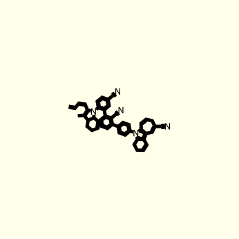 C=C/C=C\C1=C(C)C2CCC=CC2N1c1ccc(C#N)cc1-c1cccc(-c2ccc(-n3c4c(c5c3CCC=C5)C=C(C#N)CC=C4)cc2)c1C#N